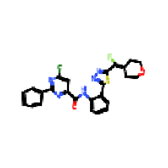 O=C(Nc1ccccc1-c1nnc(C(F)=C2CCOCC2)s1)c1cc(Cl)nc(-c2ccccc2)n1